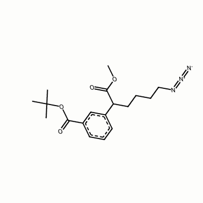 COC(=O)C(CCCCN=[N+]=[N-])c1cccc(C(=O)OC(C)(C)C)c1